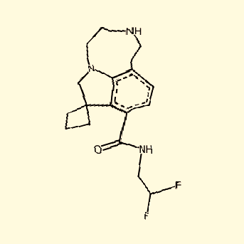 O=C(NCC(F)F)c1ccc2c3c1C1(CCC1)CN3CCNC2